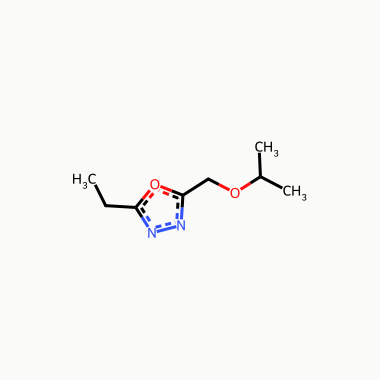 CCc1nnc(COC(C)C)o1